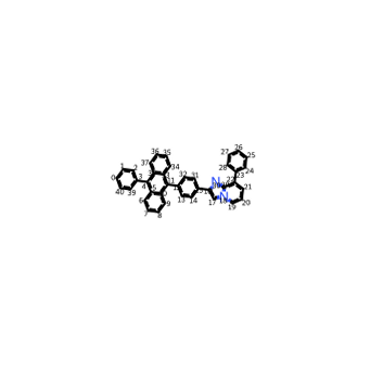 c1ccc(-c2c3ccccc3c(-c3ccc(-c4cn5cccc(-c6ccccc6)c5n4)cc3)c3ccccc23)cc1